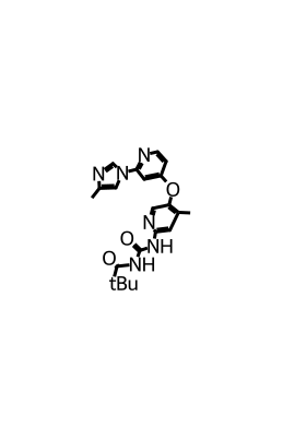 Cc1cn(-c2cc(Oc3cnc(NC(=O)NC(=O)C(C)(C)C)cc3C)ccn2)cn1